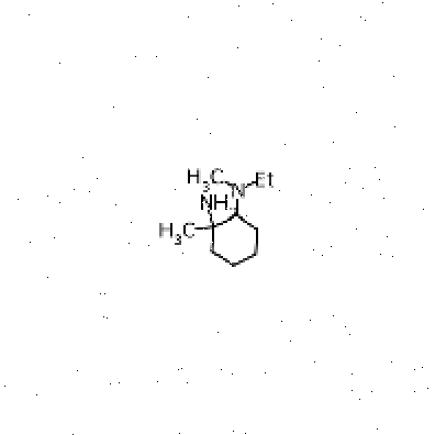 CCN(C)C1CCCCC1(C)N